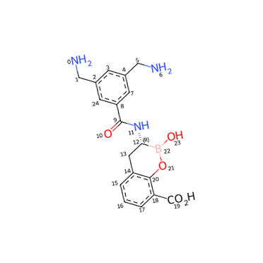 NCc1cc(CN)cc(C(=O)N[C@H]2Cc3cccc(C(=O)O)c3OB2O)c1